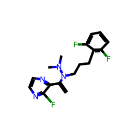 C=C(c1nccnc1F)N(CCCc1c(F)cccc1F)N(C)C